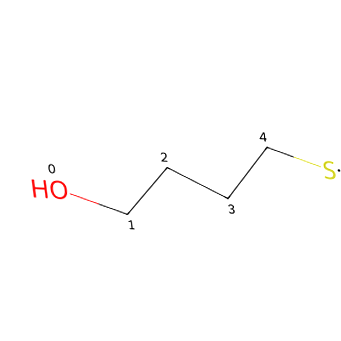 OCCCC[S]